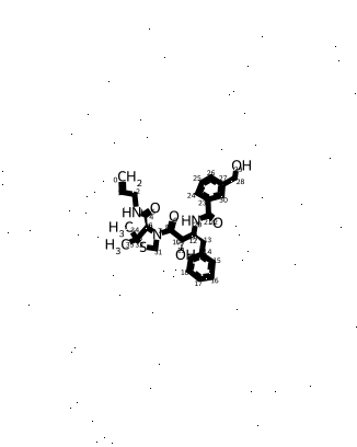 C=CCNC(=O)[C@H]1N(C(=O)[C@@H](O)[C@H](Cc2ccccc2)NC(=O)c2cccc(CO)c2)CSC1(C)C